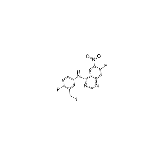 O=[N+]([O-])c1cc2c(Nc3ccc(F)c(CI)c3)ncnc2cc1F